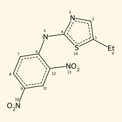 CCc1cnc([N]c2ccc([N+](=O)[O-])cc2[N+](=O)[O-])s1